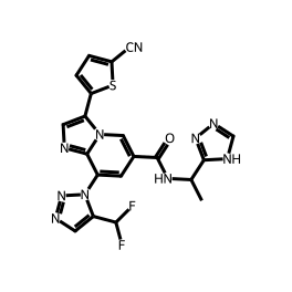 CC(NC(=O)c1cc(-n2nncc2C(F)F)c2ncc(-c3ccc(C#N)s3)n2c1)c1nnc[nH]1